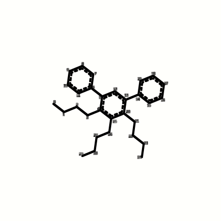 CCCCc1c(-c2ccccc2)cc(-c2ccccc2)c(CCCC)c1CCCC